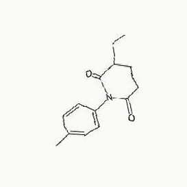 CCC1CCC(=O)N(c2ccc(C)cc2)C1=O